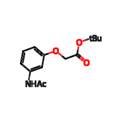 CC(=O)Nc1cccc(OCC(=O)OC(C)(C)C)c1